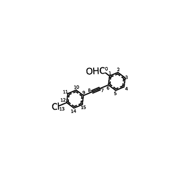 O=Cc1ccccc1C#Cc1ccc(Cl)cc1